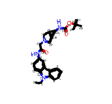 CCn1c2ccccc2c2cc(NC(=O)CN3CC4C(C3)C4NC(=O)OC(C)(C)C)ccc21